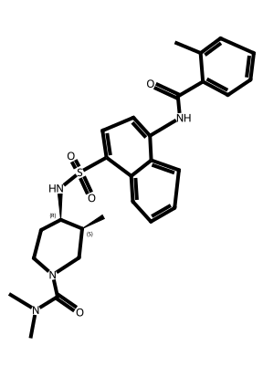 Cc1ccccc1C(=O)Nc1ccc(S(=O)(=O)N[C@@H]2CCN(C(=O)N(C)C)C[C@@H]2C)c2ccccc12